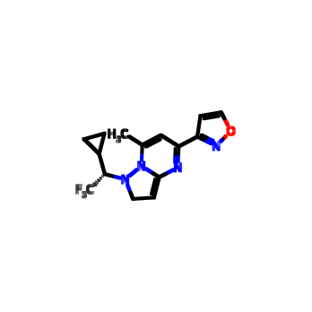 CC1=CC(c2ccon2)=NC2=CCN([C@@H](C3CC3)C(F)(F)F)N12